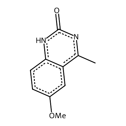 COc1ccc2[nH]c(=O)nc(C)c2c1